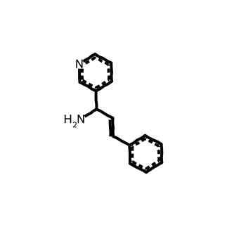 NC(C=Cc1ccccc1)c1cccnc1